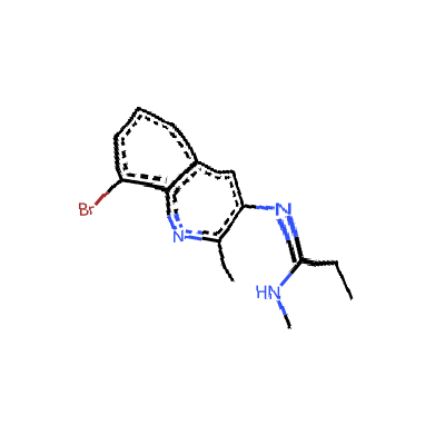 CCC(=Nc1cc2cccc(Br)c2nc1C)NC